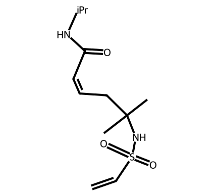 C=CS(=O)(=O)NC(C)(C)C/C=C\C(=O)NC(C)C